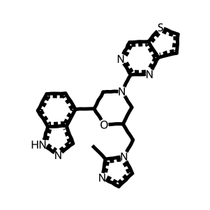 Cc1nccn1CC1CN(c2ncc3sccc3n2)CC(c2cccc3[nH]ncc23)O1